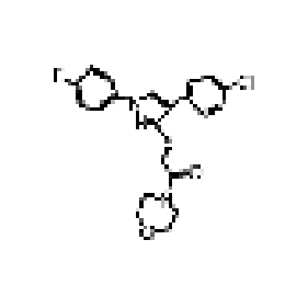 O=C(CSc1nn(-c2ccc(F)cc2)cc1-c1ccc(Cl)cc1)N1CCOCC1